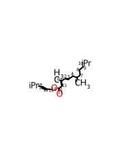 CC(C=CCC(C)CCCC(C)C)=CC(=O)OCC#CC(C)C